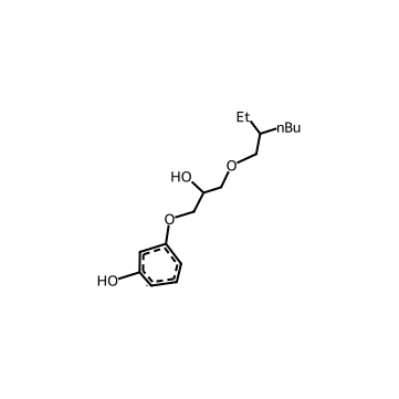 CCCCC(CC)COCC(O)COc1cc[c]c(O)c1